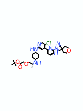 C[C@@H](COCC(=O)OC(C)(C)C)N[C@H]1CC[C@H](Nc2cc(-c3cccc(NCC4(C#N)CCOCC4)n3)c(Cl)cn2)CC1